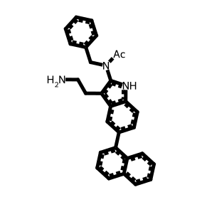 CC(=O)N(Cc1ccccc1)c1[nH]c2ccc(-c3cccc4ccccc34)cc2c1CCN